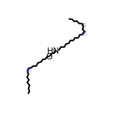 CCCCC/C=C\C/C=C\CCCCCCCCCCNCCOCCCCCCCC/C=C\CCCCCCCC